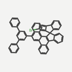 Brc1ccc2c(c1)C1(c3ccccc3-2)c2ccccc2-c2c1c1c3ccccc3c(-c3cc(-c4ccccc4)cc(-c4ccccc4)c3)cc1c1ccccc21